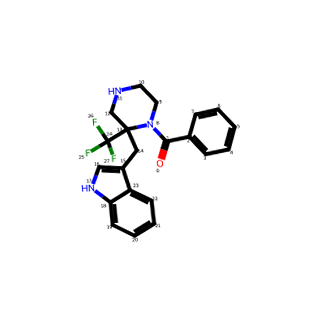 O=C(c1ccccc1)N1CCNCC1(Cc1c[nH]c2ccccc12)C(F)(F)F